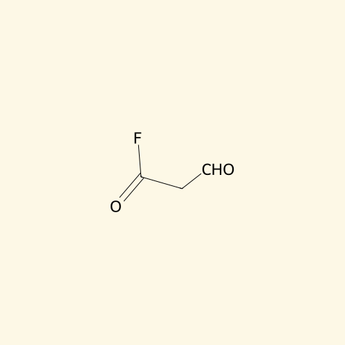 O=CCC(=O)F